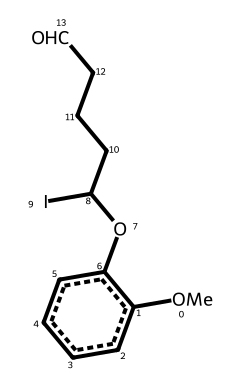 COc1ccccc1OC(I)CCCC=O